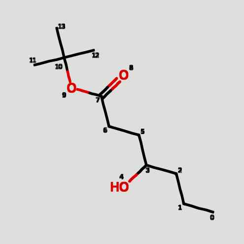 CCCC(O)CCC(=O)OC(C)(C)C